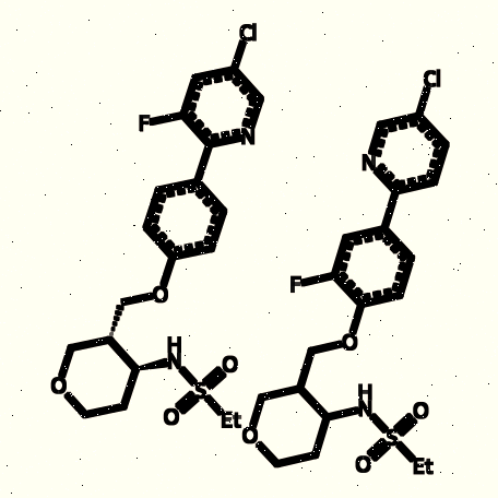 CCS(=O)(=O)NC1CCOCC1COc1ccc(-c2ccc(Cl)cn2)cc1F.CCS(=O)(=O)N[C@H]1CCOC[C@@H]1COc1ccc(-c2ncc(Cl)cc2F)cc1